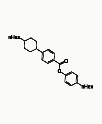 CCCCCCc1ccc(OC(=O)c2ccc(C3CCC(CCCCCC)CC3)cc2)cc1